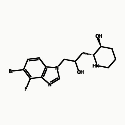 OC(C[C@H]1NCCC[C@@H]1O)Cn1cnc2c(F)c(Br)ccc21